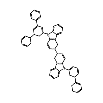 C1=CCCC(C2C=CC=C(n3c4c(c5ccccc53)CC(C3C=Cc5c(c6ccccc6n5C5=CC(c6ccccc6)=CC(C6C=CC=CC6)C5)C3)C=C4)C2)=C1